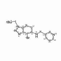 CC(C)(C)Cn1nnc2c(Br)c(NCc3cccnc3)ccc21